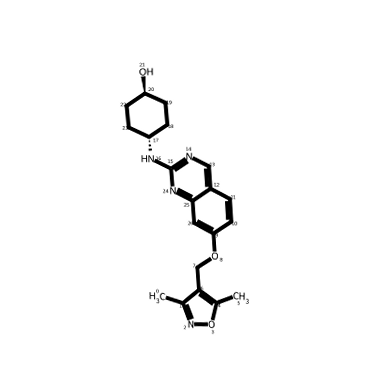 Cc1noc(C)c1COc1ccc2cnc(N[C@H]3CC[C@H](O)CC3)nc2c1